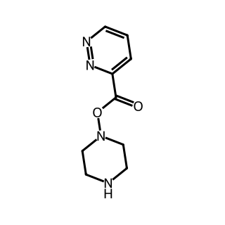 O=C(ON1CCNCC1)c1cccnn1